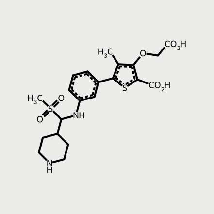 Cc1c(-c2cccc(NC(C3CCNCC3)S(C)(=O)=O)c2)sc(C(=O)O)c1OCC(=O)O